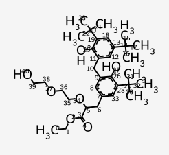 CCOC(=O)C(Cc1cc(Cc2cc(C(C)(C)C)cc(C(C)(C)C)c2O)c(O)c(C(C)(C)C)c1)OCCOCCO